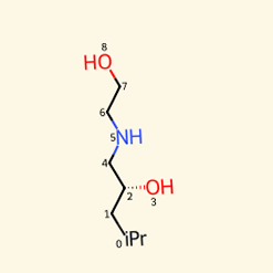 CC(C)C[C@@H](O)CNCCO